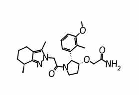 COc1cccc([C@@H]2[C@H](OCC(N)=O)CCN2C(=O)Cn2nc3c(c2C)CCC[C@@H]3C)c1C